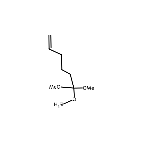 C=CCCCC(OC)(OC)O[SiH3]